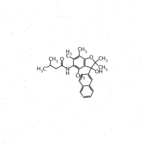 Cc1c(C)c2c(c(C)c1NC(=O)CC(C)C)C(O)(c1ccc3ccccc3c1)C(C)(C)O2